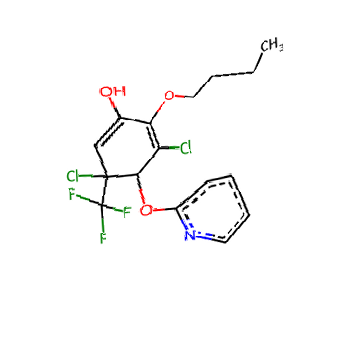 CCCCOC1=C(Cl)C(Oc2ccccn2)C(Cl)(C(F)(F)F)C=C1O